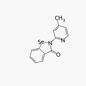 Cc1ccnc(-n2[se]c3ccccc3c2=O)c1